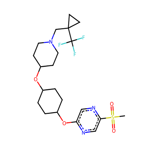 CS(=O)(=O)c1cnc(OC2CCC(OC3CCN(CC4(C(F)(F)F)CC4)CC3)CC2)cn1